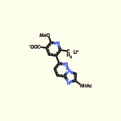 COc1nc(C)c(-c2ccc3nc(NC(C)=O)cn3n2)cc1C(=O)[O-].[Li+]